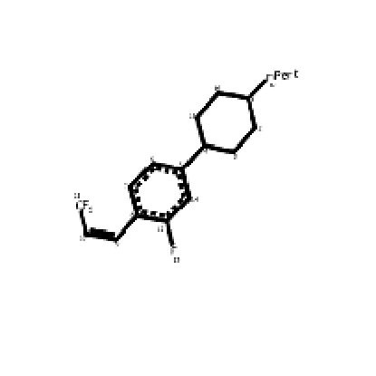 CCCCCC1CCC(c2ccc(/C=C\C(F)(F)F)c(F)c2)CC1